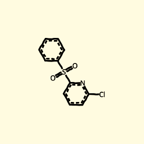 O=S(=O)(c1ccccc1)c1cccc(Cl)n1